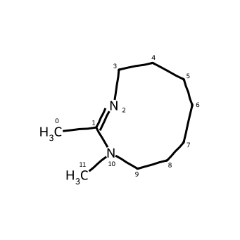 C/C1=N\CCCCCCCN1C